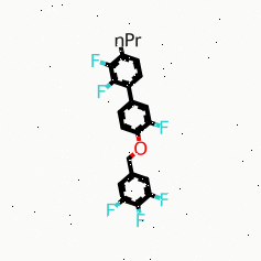 CCCc1ccc(-c2ccc(OCc3cc(F)c(F)c(F)c3)c(F)c2)c(F)c1F